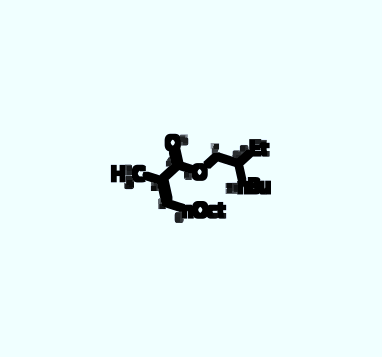 CCCCCCCCC=C(C)C(=O)OCC(CC)CCCC